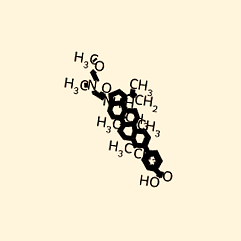 C=C(C)[C@@H]1CC[C@]2(NC(=O)CN(C)CCOC)CC[C@]3(C)[C@H](CCC4[C@@]5(C)CC=C(c6ccc(C(=O)O)cc6)C(C)(C)C5CC[C@]43C)C12